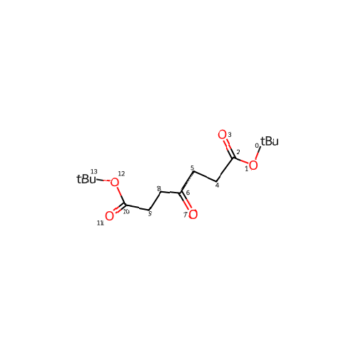 CC(C)(C)OC(=O)CCC(=O)CCC(=O)OC(C)(C)C